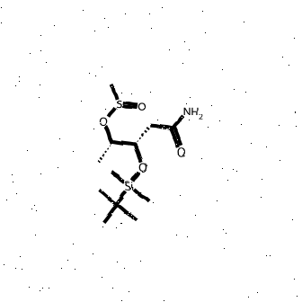 C[C@H](OS(C)=O)[C@H](CC(N)=O)O[Si](C)(C)C(C)(C)C